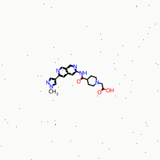 Cn1cc(-c2cc3cc(NC(=O)C4CCN(CC(=O)O)CC4)ncc3cn2)cn1